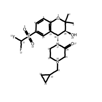 CC1(C)Oc2ccc(S(=O)(=O)C(F)F)cc2[C@@H](N2CCN(CC3CC3)CC2=O)[C@@H]1O